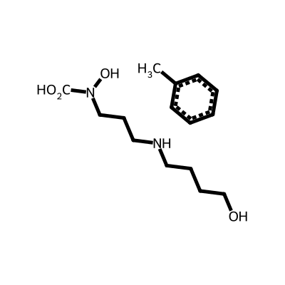 Cc1ccccc1.O=C(O)N(O)CCCNCCCCO